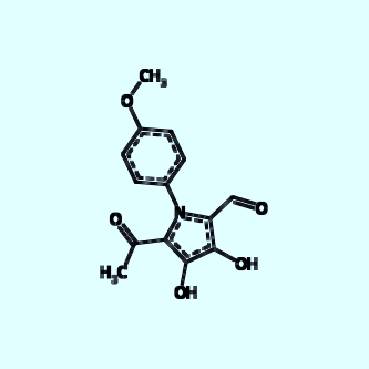 COc1ccc(-n2c(C=O)c(O)c(O)c2C(C)=O)cc1